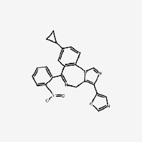 O=[N+]([O-])c1ccccc1C1=NCc2c(-c3cnco3)ncn2-c2ccc(C3CC3)cc21